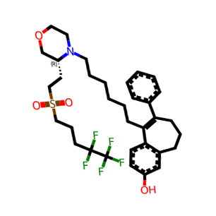 O=S(=O)(CCCC(F)(F)C(F)(F)F)CC[C@@H]1COCCN1CCCCCCC1=C(c2ccccc2)CCCc2cc(O)ccc21